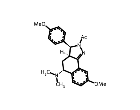 COc1ccc([C@@H]2[C@@H]3C[C@@H](N(C)C)c4ccc(OC)cc4C3=NN2C(C)=O)cc1